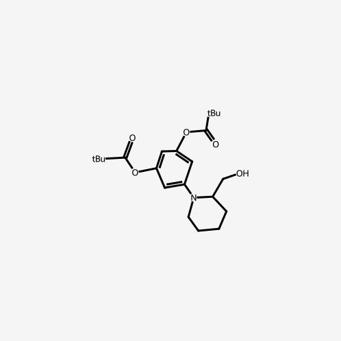 CC(C)(C)C(=O)Oc1cc(OC(=O)C(C)(C)C)cc(N2CCCCC2CO)c1